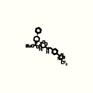 CC(C)COC(=O)N1CC[C@H](c2ccccc2)C[C@@H]1C(=O)N[C@@H](C)C(=O)NCc1ccc(-c2noc(C(F)(F)F)n2)cc1